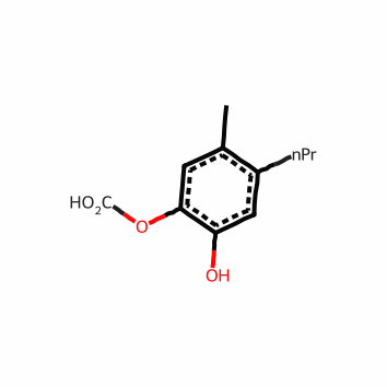 CCCc1cc(O)c(OC(=O)O)cc1C